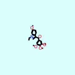 CCn1cc(C(=O)c2cc(OC)c(OC)c(OC)c2)c2ccc(OC)cc21